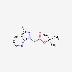 CC(C)(C)OC(=O)Cn1nc(I)c2cccnc21